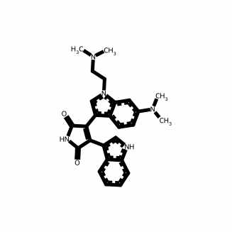 CN(C)CCn1cc(C2=C(c3c[nH]c4ccccc34)C(=O)NC2=O)c2ccc(N(C)C)cc21